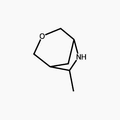 CC1NC2COCC1C2